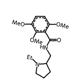 CCN1CCCC1CNC(=O)c1c(OC)ccc(OC)c1OC